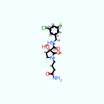 NC(=O)CCCN1CCC(O)(C(=O)NCc2cc(F)cc(Cl)c2)C1=O